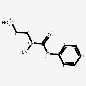 NN(CCC(=O)O)C(=O)Oc1ccccc1